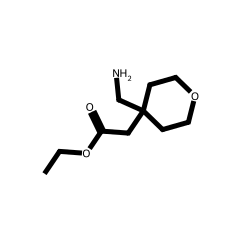 CCOC(=O)CC1(CN)CCOCC1